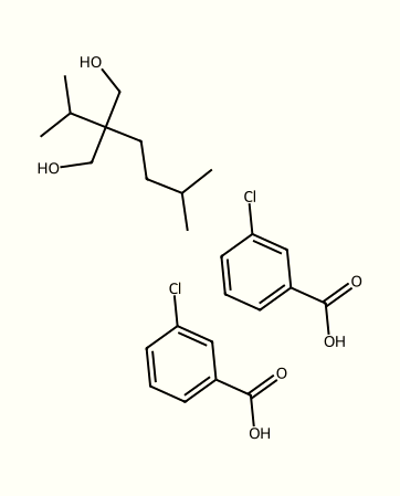 CC(C)CCC(CO)(CO)C(C)C.O=C(O)c1cccc(Cl)c1.O=C(O)c1cccc(Cl)c1